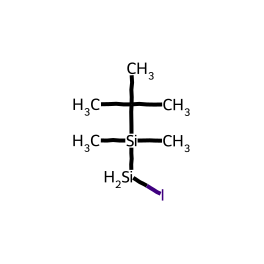 CC(C)(C)[Si](C)(C)[SiH2]I